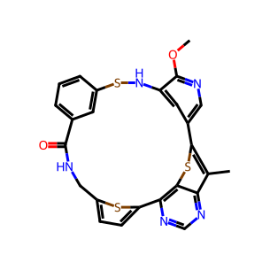 COc1ncc2cc1NSc1cccc(c1)C(=O)NCc1ccc(s1)-c1ncnc3c(C)c-2sc13